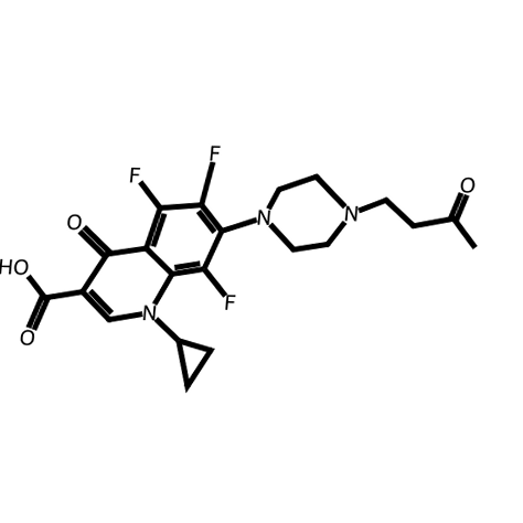 CC(=O)CCN1CCN(c2c(F)c(F)c3c(=O)c(C(=O)O)cn(C4CC4)c3c2F)CC1